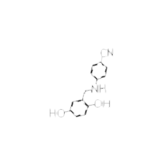 N#Cc1ccc(NCc2cc(O)ccc2O)cc1